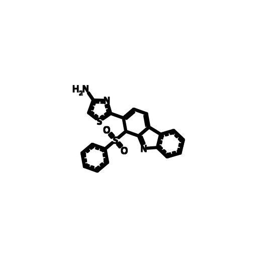 Nc1csc(C2=CC=C3C(=Nc4ccccc43)C2S(=O)(=O)c2ccccc2)n1